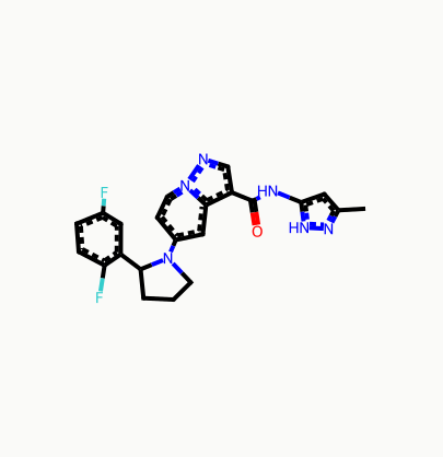 Cc1cc(NC(=O)c2cnn3ccc(N4CCCC4c4cc(F)ccc4F)cc23)[nH]n1